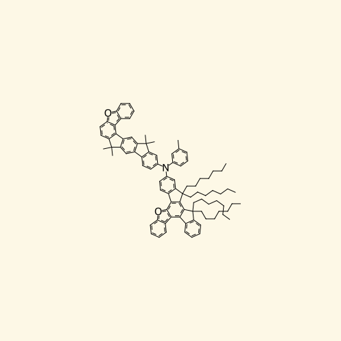 CCCCCCCC1(CCCCCCC)c2cc(N(c3cccc(C)c3)c3ccc4c(c3)C(C)(C)c3cc5c(cc3-4)C(C)(C)c3ccc4oc6ccccc6c4c3-5)ccc2-c2c1c1c(c3c2oc2ccccc23)-c2ccccc2C1(CCCCCCC)CCCCCCC